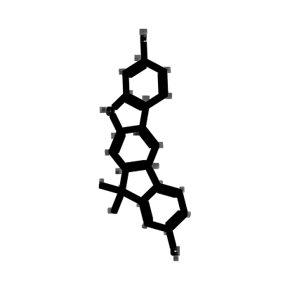 CC1(C)c2cc(Cl)ccc2-c2cc3c(cc21)oc1cc(F)ccc13